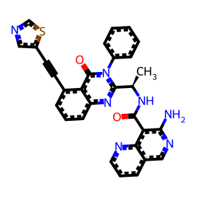 C[C@@H](NC(=O)c1c(N)ncc2cccnc12)c1nc2cccc(C#Cc3cncs3)c2c(=O)n1-c1ccccc1